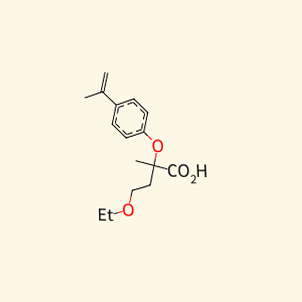 C=C(C)c1ccc(OC(C)(CCOCC)C(=O)O)cc1